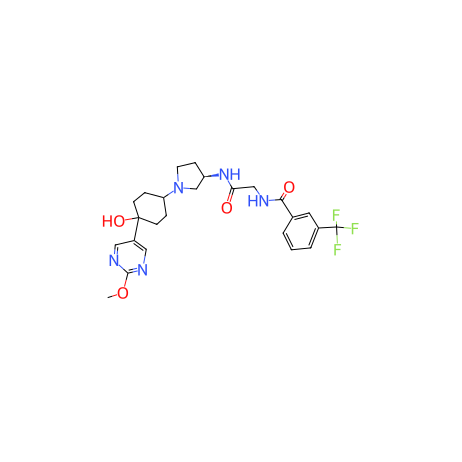 COc1ncc(C2(O)CCC(N3CC[C@@H](NC(=O)CNC(=O)c4cccc(C(F)(F)F)c4)C3)CC2)cn1